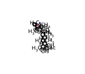 C/C=C(/C)C(=O)[C@@]1(O)[C@H](O)[C@@H]([C@]2(O)CC[C@@]3(C)C(CC[C@]4(C)[C@@H]3CC=C3[C@H]5CC(C)(C)[C@@H](O)[C@H](O)[C@]5(COC(C)=O)[C@H](O)C[C@]34C)C2(C)C)O[C@H](C)[C@]1(O)C(=O)c1ccccc1